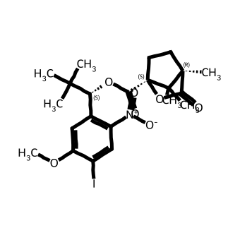 COc1cc([C@@H](OC(=O)[C@@]23CC[C@@](C)(C(=O)O2)C3(C)C)C(C)(C)C)c([N+](=O)[O-])cc1I